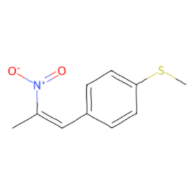 CSc1ccc(C=C(C)[N+](=O)[O-])cc1